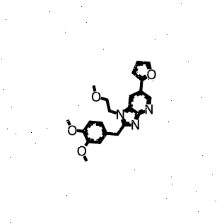 COCCn1c(Cc2ccc(OC)c(OC)c2)nc2ncc(-c3ccco3)cc21